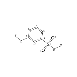 CCc1cccc(S(=O)(=O)CC)c1